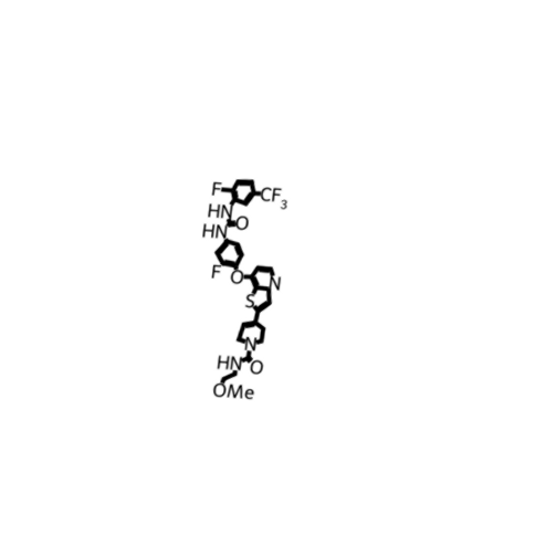 COCCNC(=O)N1CC=C(c2cc3nccc(Oc4ccc(NC(=O)Nc5cc(C(F)(F)F)ccc5F)cc4F)c3s2)CC1